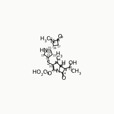 C[C@@H](O)[C@H]1C(=O)N2C(OC(=O)O)=C(S[C@@H]3CN[C@H](C4CC(=O)N4C)C3)[C@H](C)[C@H]12